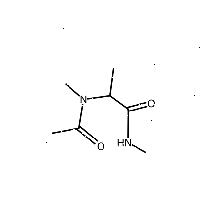 CNC(=O)C(C)N(C)C(C)=O